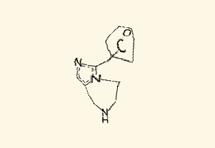 c1nc(C23CCC(CC2)OC3)n2c1CNCC2